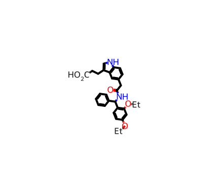 CCOc1ccc(C(NC(=O)Cc2ccc3[nH]cc(CCC(=O)O)c3c2)c2ccccc2)c(OCC)c1